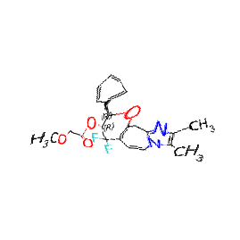 COCC(=O)O[C@@H]1[C@@H](c2ccccc2)Oc2c(ccn3c(C)c(C)nc23)C1(F)F